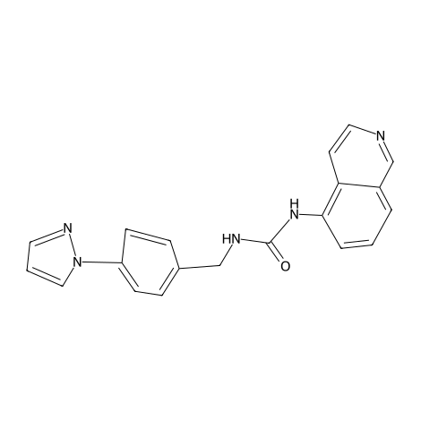 O=C(NCc1ccc(-n2cccn2)cc1)Nc1cccc2cnccc12